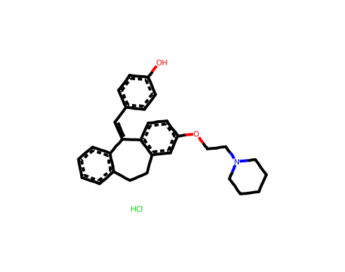 Cl.Oc1ccc(C=C2c3ccccc3CCc3cc(OCCN4CCCCC4)ccc32)cc1